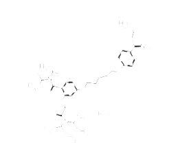 CCOC(=N)c1ccc(OCCCCCOc2ccc(C(=O)N(C(C)C)C(C)C)c(OCC(=O)N(C(C)C)C(C)C)c2)cc1.Cl